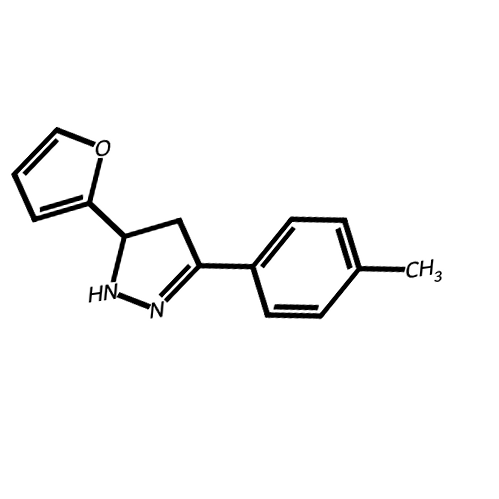 Cc1ccc(C2=NNC(c3ccco3)C2)cc1